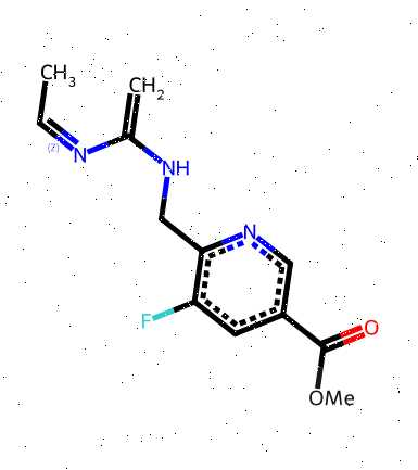 C=C(/N=C\C)NCc1ncc(C(=O)OC)cc1F